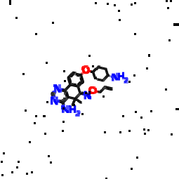 C=CCO/N=C1\c2cc(OC3CCC(N)CC3)ccc2-c2ncnc(N)c2C1(C)C